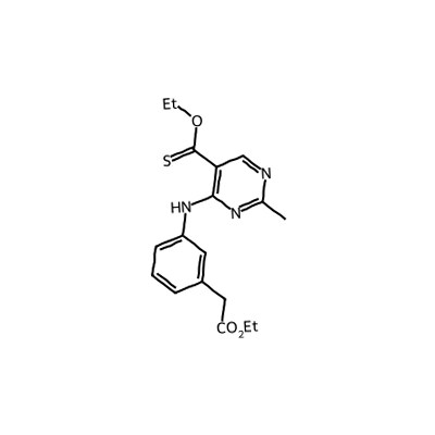 CCOC(=O)Cc1cccc(Nc2nc(C)ncc2C(=S)OCC)c1